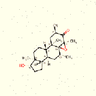 C[C@@H]1C[C@H]2[C@@H]3CC[C@H](O)[C@@]3(C)CC[C@@H]2[C@@]2(C)C[C@@H](C#N)C(=O)[C@@]3(C)O[C@]132